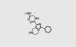 CNC(=O)[C@H](C)NC(=O)c1nc(-c2ccccc2)n2c1CNCC2